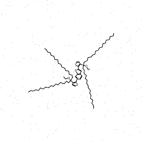 CCCCCCCCCCCCCCCCCC(CCCCCCCCCCCCCCCCC)(OCC)c1ccsc1-c1ccc2cc(-c3sccc3C(CCCCCCCCCCCCCCCCC)(CCCCCCCCCCCCCCCCC)OCC)sc2c1